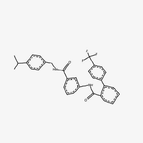 CC(C)c1ccc(CNC(=O)c2cccc(NC(=O)c3ccccc3-c3ccc(C(F)(F)F)cc3)c2)cc1